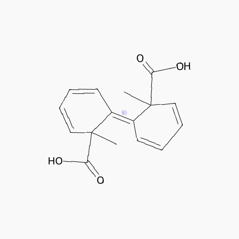 CC1(C(=O)O)C=CC=C/C1=C1/C=CC=CC1(C)C(=O)O